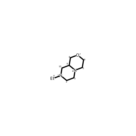 CCN1CCN2CCOCC2C1